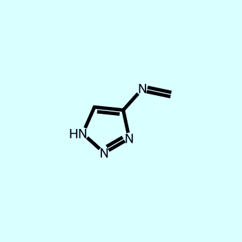 C=Nc1c[nH]nn1